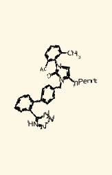 CCCCCc1cn(-c2c(C)cccc2C(C)=O)c(=O)n1Cc1ccc(-c2ccccc2-c2nnn[nH]2)cc1